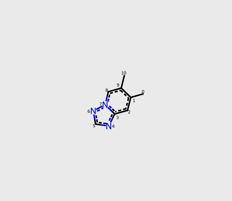 Cc1cc2ncnn2cc1C